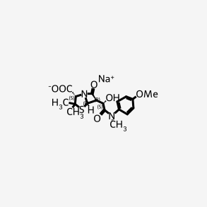 COc1ccc(N(C)C(=O)[C@@H](O)[C@@H]2C(=O)N3[C@@H]2SC(C)(C)[C@@H]3C(=O)[O-])cc1.[Na+]